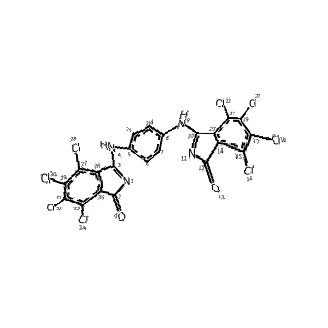 O=C1N=C(Nc2ccc(NC3=NC(=O)c4c(Cl)c(Cl)c(Cl)c(Cl)c43)cc2)c2c(Cl)c(Cl)c(Cl)c(Cl)c21